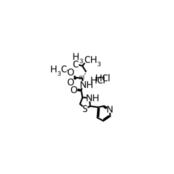 COC(=O)[C@H](CC(C)C)NC(=O)C1CSC(c2cccnc2)N1.Cl.Cl